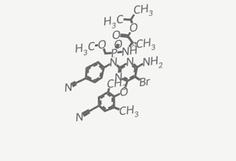 COCP(=O)(N[C@@H](C)C(=O)OC(C)C)N(c1ccc(C#N)cc1)c1nc(N)c(Br)c(Oc2c(C)cc(C#N)cc2C)n1